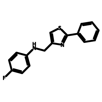 Fc1ccc(NCc2csc(-c3ccccc3)n2)cc1